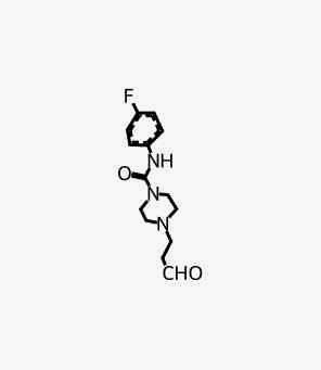 O=CCCN1CCN(C(=O)Nc2ccc(F)cc2)CC1